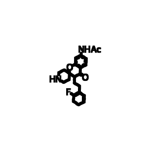 CC(=O)Nc1ccc2c(c1)OC1(CCNCC1)C(CCC1=C(F)CCC=C1)C2=O